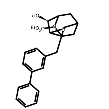 CCOC(=O)N1C2CC3CC1[C@H](O)C2N(Cc1cccc(-c2ccccc2)c1)C3